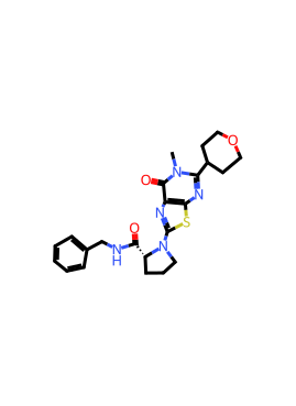 Cn1c(C2CCOCC2)nc2sc(N3CCC[C@@H]3C(=O)NCc3ccccc3)nc2c1=O